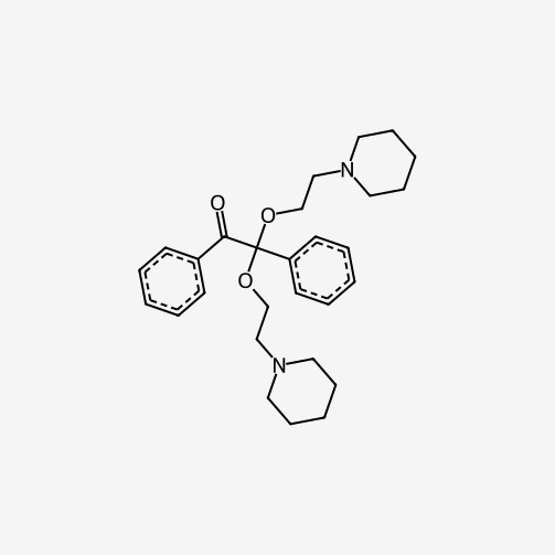 O=C(c1ccccc1)C(OCCN1CCCCC1)(OCCN1CCCCC1)c1ccccc1